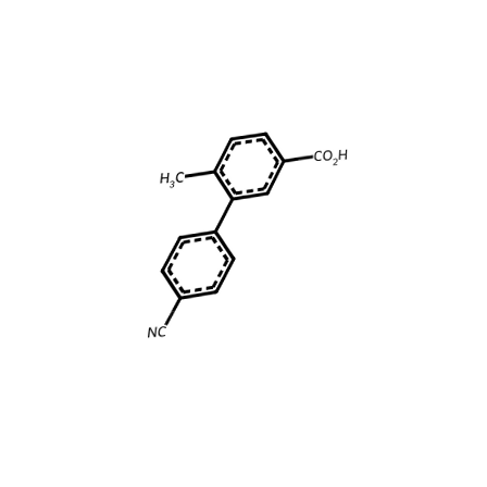 Cc1ccc(C(=O)O)cc1-c1ccc(C#N)cc1